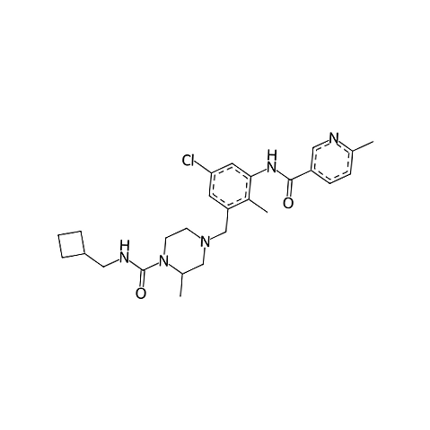 Cc1ccc(C(=O)Nc2cc(Cl)cc(CN3CCN(C(=O)NCC4CCC4)C(C)C3)c2C)cn1